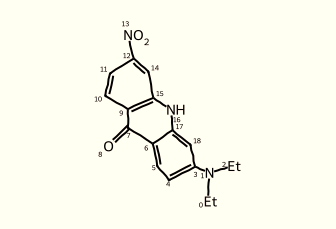 CCN(CC)c1ccc2c(=O)c3ccc([N+](=O)[O-])cc3[nH]c2c1